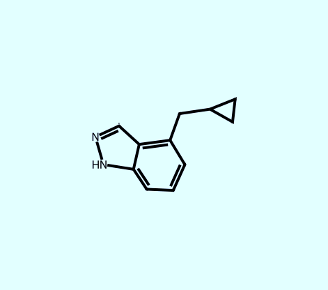 [c]1n[nH]c2cccc(CC3CC3)c12